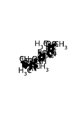 CCc1ccc(-c2c(C)nc(C)c(C(=O)Nc3ccc(Oc4ccnc5cc(OC)c(OC)nc45)c(F)c3)c2O)o1